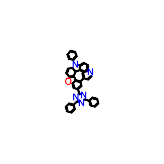 C1=CC2C(c3ccccc3N2c2ccccc2)c2c1oc1cc(-c3nc(-c4ccccc4)nc(-c4ccccc4)n3)cc(-c3ccncc3)c21